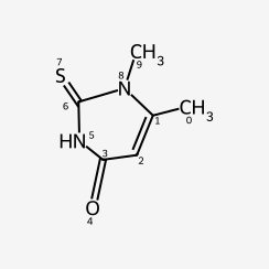 Cc1cc(=O)[nH]c(=S)n1C